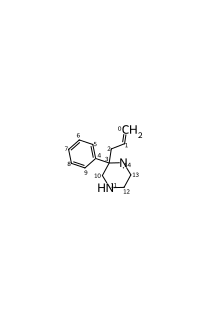 C=CCC1(c2ccccc2)CNCC[N]1